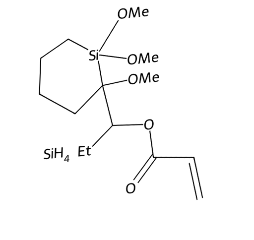 C=CC(=O)OC(CC)C1(OC)CCCC[Si]1(OC)OC.[SiH4]